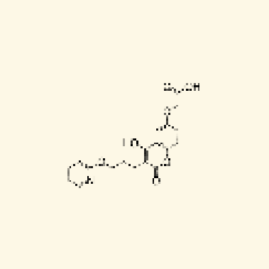 O=C(O)COc1ccc2oc(=O)c(CCCOc3ccccn3)c(O)c2c1